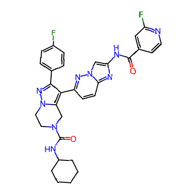 O=C(Nc1cn2nc(-c3c(-c4ccc(F)cc4)nn4c3CN(C(=O)NC3CCCCC3)CC4)ccc2n1)c1ccnc(F)c1